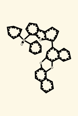 O=P(c1ccccc1)(c1ccccc1)c1cccc2c1oc1c(-c3cc4c(c5ccccc35)Oc3c(ccc5ccccc35)O4)cccc12